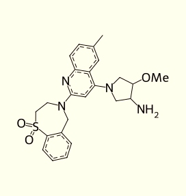 COC1CN(c2cc(N3CCS(=O)(=O)c4ccccc4C3)nc3ccc(C)cc23)CC1N